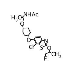 CC(=O)N[C@@H](C)CO[C@H]1CC[C@H](Oc2ccc3nc(OC(C)CF)sc3c2Cl)CC1